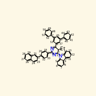 CCC1C(n2c3ccccc3c3ccccc32)=NC(c2ccc(-c3ccc4ccccc4c3)cc2)=NC1c1cc(-c2ccccc2)cc(-c2ccccc2)c1